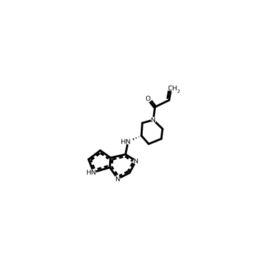 C=CC(=O)N1CCC[C@H](Nc2ncnc3[nH]ccc23)C1